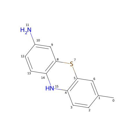 Cc1ccc2c(c1)Sc1cc(N)ccc1N2